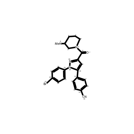 CNC1CCCN(C(=O)c2cc(-c3ccc(C#N)cc3)n(-c3ccc(Br)cc3)n2)C1